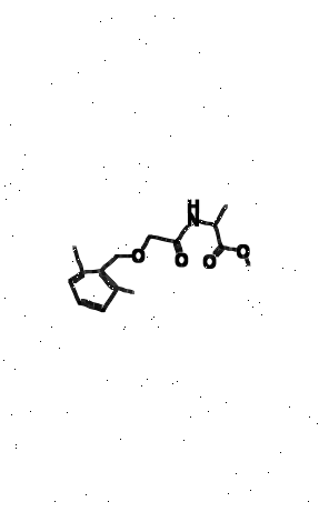 COC(=O)C(C)NC(=O)COCc1c(C)cccc1C